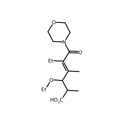 CCOC(/C(C)=C(\CC)C(=O)N1CCOCC1)C(C)C(=O)O